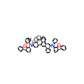 CC1(C)c2cc(N(c3ccccc3)c3cccc4c3oc3ccccc34)ccc2-c2cc3c4ccccc4c(N(c4ccccc4)c4cccc5c4oc4ccccc45)cc3c3cccc1c23